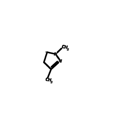 CC1=NN(C)[CH]C1